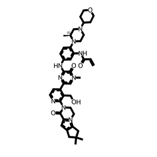 C=CC(=O)Nc1cc(Nc2nc(-c3ccnc(N4CCn5c(cc6c5CC(C)(C)C6)C4=O)c3CO)cn(C)c2=O)ccc1N1CCN(C2CCOCC2)C[C@@H]1C